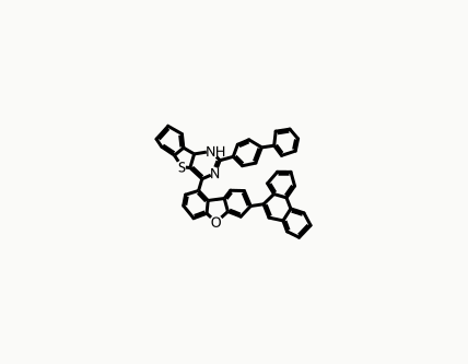 c1ccc(-c2ccc(C3=NC(c4cccc5oc6cc(-c7cc8ccccc8c8ccccc78)ccc6c45)=C4Sc5ccccc5C4N3)cc2)cc1